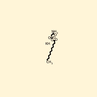 CCCCCCCCCCCC(=O)OS(=O)(=O)CC(N)=O.[KH]